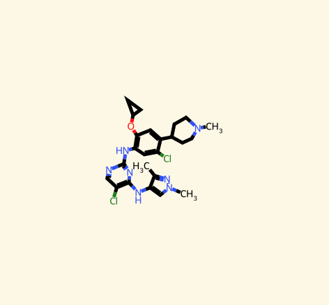 Cc1nn(C)cc1Nc1nc(Nc2cc(Cl)c(C3CCN(C)CC3)cc2OC2CC2)ncc1Cl